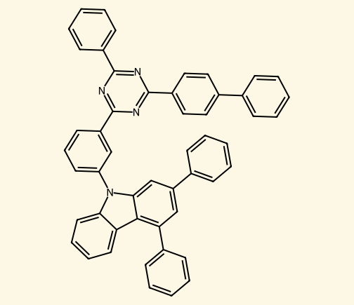 c1ccc(-c2ccc(-c3nc(-c4ccccc4)nc(-c4cccc(-n5c6ccccc6c6c(-c7ccccc7)cc(-c7ccccc7)cc65)c4)n3)cc2)cc1